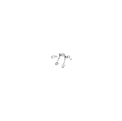 O=[N+]([O-])[O-].O=[N+]([O-])[O-].[C+2]